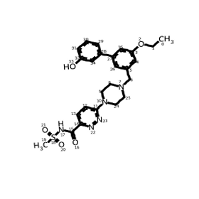 CCOc1cc(CN2CCN(c3ccc(C(=O)NS(C)(=O)=O)nn3)CC2)cc(-c2cccc(O)c2)c1